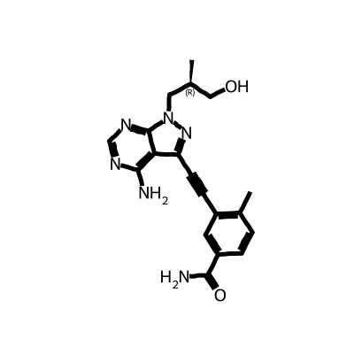 Cc1ccc(C(N)=O)cc1C#Cc1nn(C[C@@H](C)CO)c2ncnc(N)c12